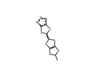 CC1SC2=C(SC(=C3Sc4nsnc4S3)S2)S1